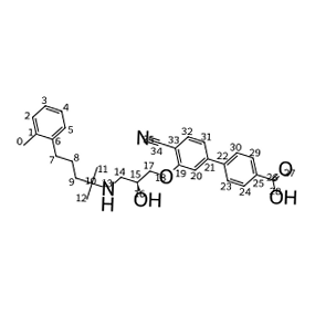 Cc1ccccc1CCCC(C)(C)NC[C@H](O)COc1cc(-c2ccc(C(=O)O)cc2)ccc1C#N